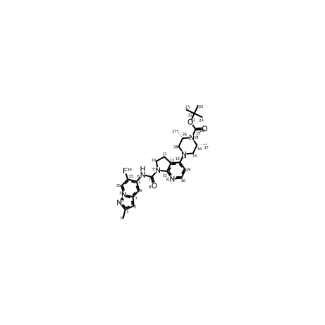 Cc1cc2cc(NC(=O)N3CCc4c(N5C[C@@H](C)N(C(=O)OC(C)(C)C)[C@@H](C)C5)ccnc43)c(F)cn2n1